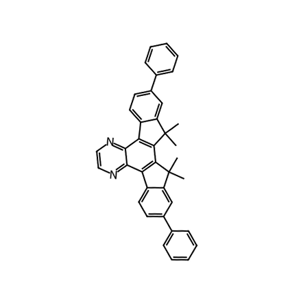 CC1(C)c2cc(-c3ccccc3)ccc2-c2c1c1c(c3nccnc23)-c2ccc(-c3ccccc3)cc2C1(C)C